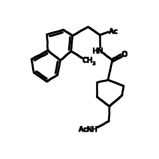 CC(=O)NCC1CCC(C(=O)NC(Cc2ccc3ccccc3c2C)C(C)=O)CC1